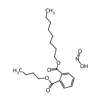 CCCCCCCCOC(=O)c1ccccc1C(=O)OCCCC.O=NO